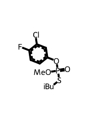 CCC(C)SP(=O)(OC)Oc1ccc(F)c(Cl)c1